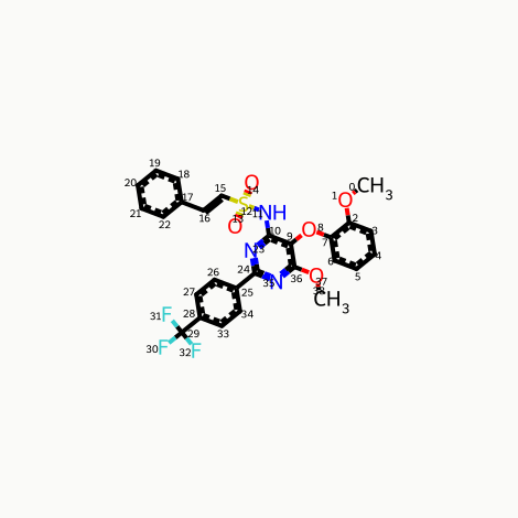 COc1ccccc1Oc1c(NS(=O)(=O)C=Cc2ccccc2)nc(-c2ccc(C(F)(F)F)cc2)nc1OC